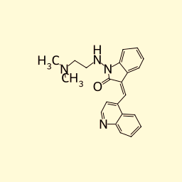 CN(C)CCNN1C(=O)C(=Cc2ccnc3ccccc23)c2ccccc21